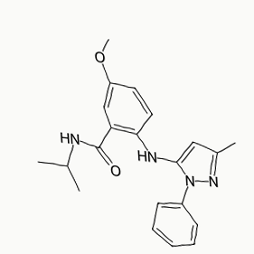 COc1ccc(Nc2cc(C)nn2-c2ccccc2)c(C(=O)NC(C)C)c1